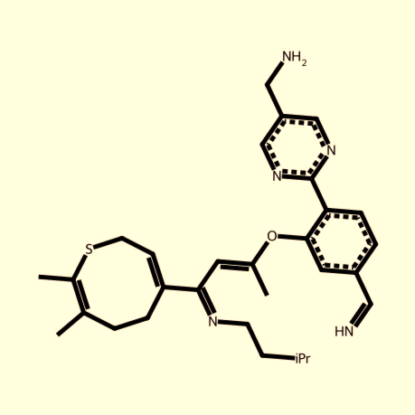 C/C1=C(\C)SC/C=C(C(/C=C(\C)Oc2cc(C=N)ccc2-c2ncc(CN)cn2)=N/CCC(C)C)\CC1